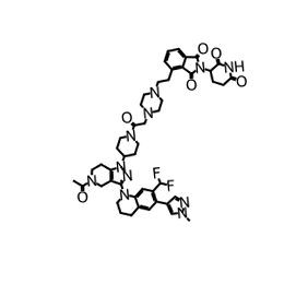 CC(=O)N1CCc2c(c(N3CCCc4cc(-c5cnn(C)c5)c(C(F)F)cc43)nn2C2CCN(C(=O)CN3CCN(CCc4cccc5c4C(=O)N(C4CCC(=O)NC4=O)C5=O)CC3)CC2)C1